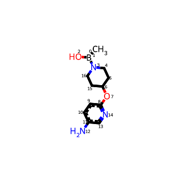 CB(O)N1CCC(Oc2ccc(N)cn2)CC1